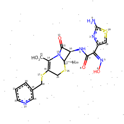 Nc1nc(/C(=N/O)C(=O)N[C@@H]2C(=O)N3C(C(=O)O)=C(SCc4cccnc4)CS[C@H]23)cs1